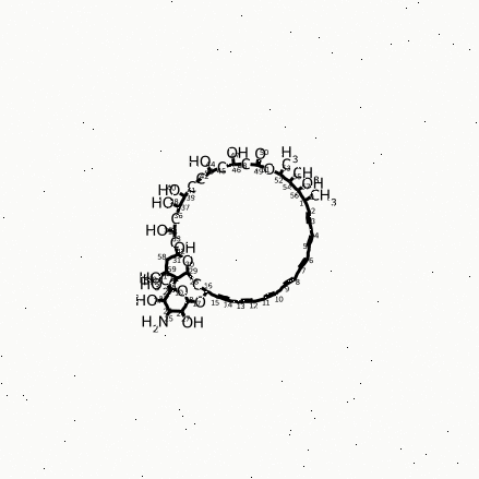 CC1/C=C/C=C/C=C/C=C/C=C\C=C/C=C\C(OC2OC(C)C(O)C(N)C2O)CC2OC(O)(CC(O)CC(O)C(O)CCC(O)CC(O)CC(=O)OC(C)C(C)C1O)CC(O)C2C(=O)O